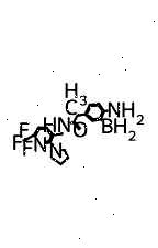 Bc1cc(C(C)C(=O)NCc2ccc(C(F)(F)F)nc2N2CCCC2)ccc1N